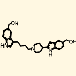 OCc1ccc2[nH]c(C3CCN(CCCCc4c[nH]c5ccc(CO)cc45)CC3)cc2c1